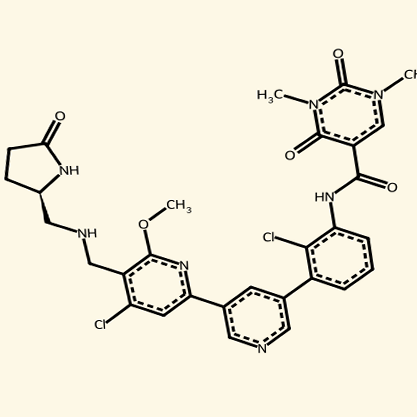 COc1nc(-c2cncc(-c3cccc(NC(=O)c4cn(C)c(=O)n(C)c4=O)c3Cl)c2)cc(Cl)c1CNC[C@H]1CCC(=O)N1